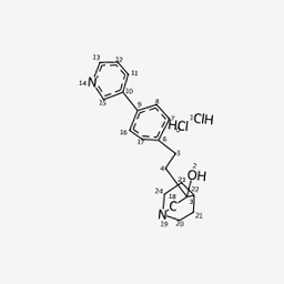 Cl.Cl.OC1(CCc2ccc(-c3cccnc3)cc2)CN2CCC1CC2